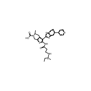 CC[C@H](C)NCCC(=O)Nc1sc2c(c1-c1nc3cc(-c4ccncc4)ccc3s1)CC(C)N(C(=O)O)C2